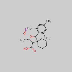 CCC(C(=O)O)C1(C(=O)c2c(C)cc(C)cc2C)CCCCC1.O=P